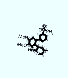 CC[SH](=O)(P)c1cccc(-c2cc(NC)c(OC)c3[nH]c4ncc(C)cc4c23)c1